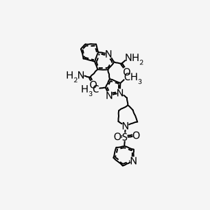 Cc1nn(CC2CCN(S(=O)(=O)c3cccnc3)CC2)c(C)c1-c1c(C(N)=O)nc2ccccc2c1C(N)=O